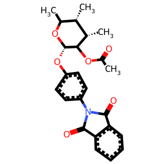 CC(=O)OC1[C@H](Oc2ccc(N3C(=O)c4ccccc4C3=O)cc2)OC(C)[C@H](C)[C@@H]1C